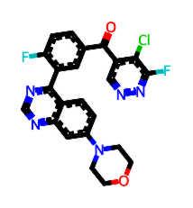 O=C(c1ccc(F)c(-c2ncnc3cc(N4CCOCC4)ccc23)c1)c1cnnc(F)c1Cl